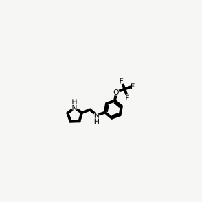 FC(F)(F)Oc1cccc(NCC2CCCN2)c1